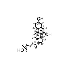 CC(CCCC(C)(C)O)[C@H]1CC[C@H]2[C@@H]3C(O)C=C4C[C@@H](O)CC[C@]4(C)[C@H]3CC[C@]12C